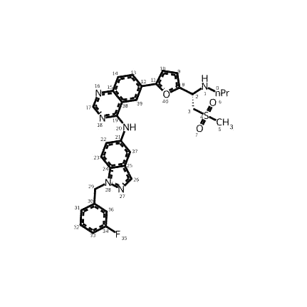 CCCN[C@H](CS(C)(=O)=O)c1ccc(-c2ccc3ncnc(Nc4ccc5c(cnn5Cc5cccc(F)c5)c4)c3c2)o1